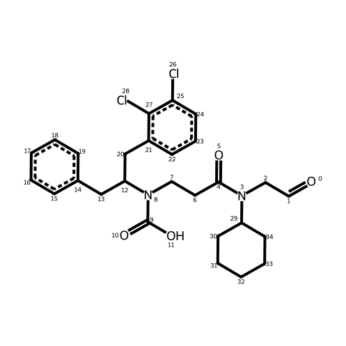 O=CCN(C(=O)CCN(C(=O)O)C(Cc1ccccc1)Cc1cccc(Cl)c1Cl)C1CCCCC1